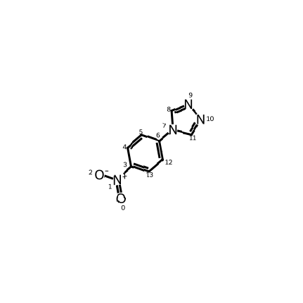 O=[N+]([O-])c1ccc(-n2cnnc2)cc1